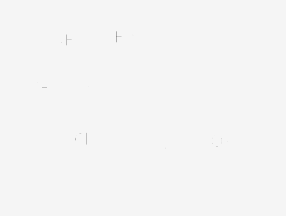 CCOc1ccc(C(=C(F)Cl)C(F)F)cc1